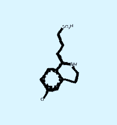 O=S(=O)(O)CCCC1NCCc2cc(Cl)ccc21